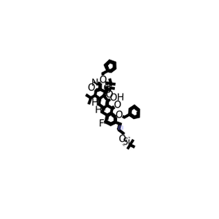 CC(C)C1c2onc(OCc3ccccc3)c2C(=O)C2(O[Si](C)(C)C(C)(C)C)C(O)=C3C(=O)c4c(c(F)cc(/C=C/CO[Si](C)(C)C(C)(C)C)c4OCc4ccccc4)C[C@H]3C[C@@H]12